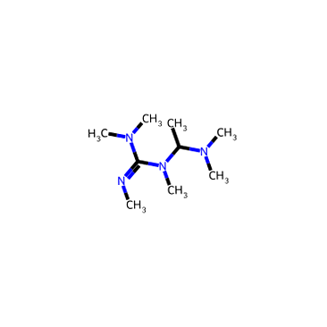 C/N=C(/N(C)C)N(C)C(C)N(C)C